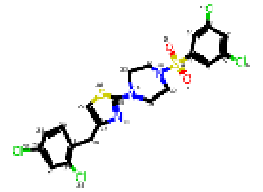 O=S(=O)(c1cc(Cl)cc(Cl)c1)N1CCN(c2nc(Cc3ccc(Cl)cc3Cl)cs2)CC1